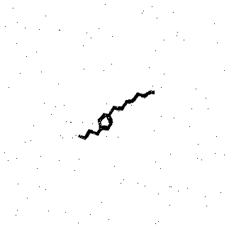 [CH2]CCCc1ccc(CCCCCCCC)cc1